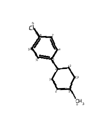 CC1CCC(c2ccc(Cl)cc2)CC1